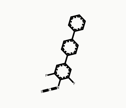 Fc1cc(-c2ccc(-c3ccccc3)cc2)cc(F)c1N=C=S